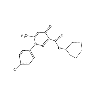 Cc1cc(=O)c(C(=O)OC2CCCCC2)nn1-c1ccc(Cl)cc1